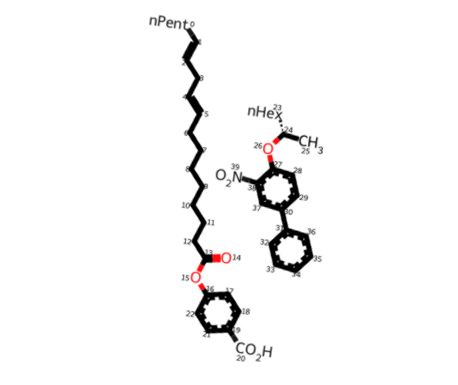 CCCCC/C=C/C/C=C/CCCCCCCC(=O)Oc1ccc(C(=O)O)cc1.CCCCCC[C@H](C)Oc1ccc(-c2ccccc2)cc1[N+](=O)[O-]